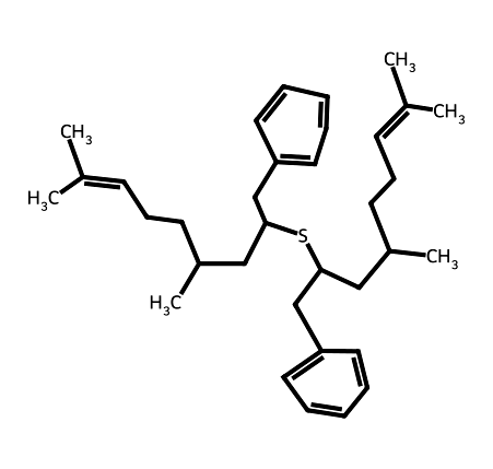 CC(C)=CCCC(C)CC(Cc1ccccc1)SC(Cc1ccccc1)CC(C)CCC=C(C)C